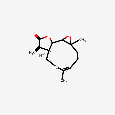 C=C1C(=O)OC2C3OC3(C)CC/C=C(/C)CC[C@@H]12